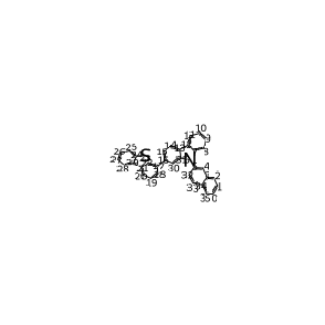 c1ccc2cc(-n3c4ccccc4c4ccc(-c5cccc6c5sc5ccccc56)cc43)ccc2c1